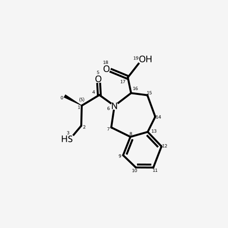 C[C@H](CS)C(=O)N1Cc2ccccc2CCC1C(=O)O